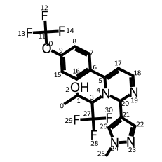 CC(O)C(N1C(c2ccc(OC(F)(F)F)cc2)=CC=NC1c1cnn(C)c1)C(F)(F)F